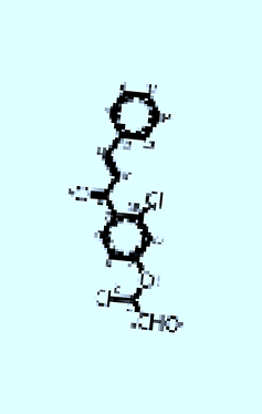 O=[C]C(Cl)Oc1ccc(C(=O)C=Cc2ccccc2)c(Cl)c1